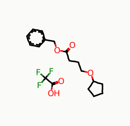 O=C(CCCOC1CCCC1)OCc1ccccc1.O=C(O)C(F)(F)F